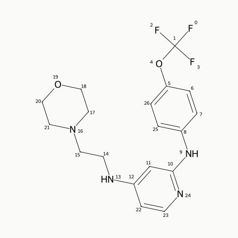 FC(F)(F)Oc1ccc(Nc2cc(NCCN3CCOCC3)ccn2)cc1